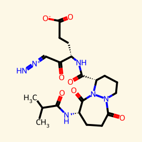 CC(C)C(=O)N[C@H]1CCC(=O)N2CCC[C@@H](C(=O)N[C@@H](CCC(=O)[O-])C(=O)C=[N+]=N)N2C1=O